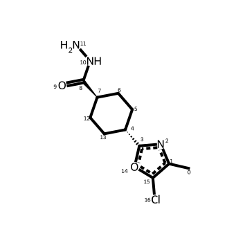 Cc1nc([C@H]2CC[C@H](C(=O)NN)CC2)oc1Cl